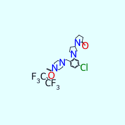 C=C(OC(C(F)(F)F)C(F)(F)F)N1CCN(Cc2ccc(Cl)cc2N2CC[C@@H](N3CCCC3=O)C2)CC1